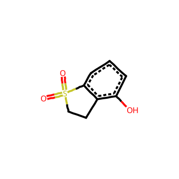 O=S1(=O)CCc2c(O)cccc21